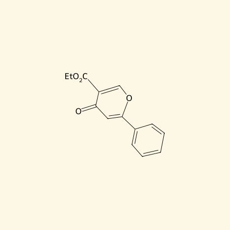 CCOC(=O)c1coc(-c2ccccc2)cc1=O